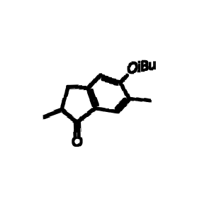 Cc1cc2c(cc1OCC(C)C)CC(C)C2=O